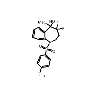 COC1(O)c2ccccc2N(S(=O)(=O)c2ccc(C)cc2)CCC1(F)F